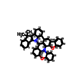 CC1(C)c2ccccc2-c2c1c1cccc3c1n2B1c2cccc4c2N(c2ccccc2O4)c2c1c-3cc1c2oc2ccccc21